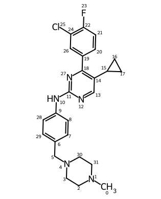 CN1CCN(Cc2ccc(Nc3ncc(C4CC4)c(-c4ccc(F)c(Cl)c4)n3)cc2)CC1